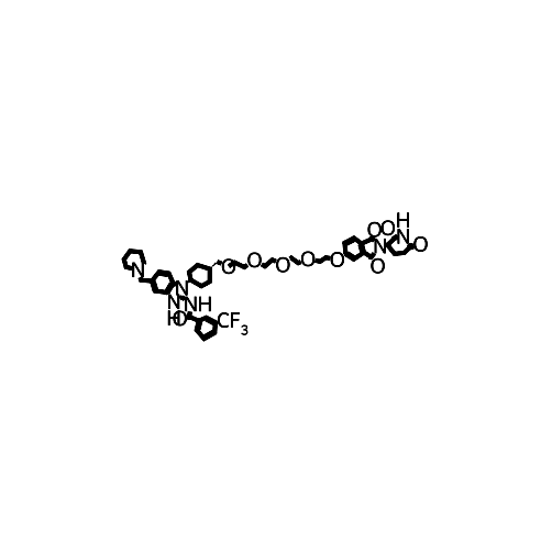 O=C1CCC(N2C(=O)c3ccc(OCCOCCOCCOCCOC[C@H]4CC[C@@H](N5c6ccc(CN7CCCCC7)cc6NC5NC(=O)c5cccc(C(F)(F)F)c5)CC4)cc3C2=O)C(=O)N1